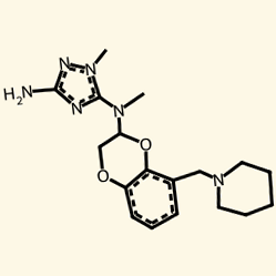 CN(c1nc(N)nn1C)C1COc2cccc(CN3CCCCC3)c2O1